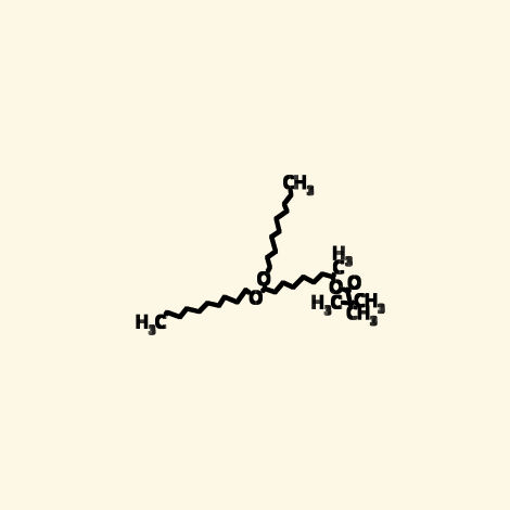 CCCCCCCCCCOC(CCCCCCC(C)OC(=O)C(C)(C)C)OCCCCCCCCCC